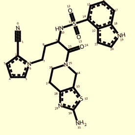 N#Cc1cccn1CCC(NS(=O)(=O)c1cccc2[nH]ccc12)C(=O)N1CCc2nc(N)sc2C1